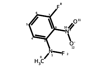 CN(F)c1cccc(F)c1[N+](=O)[O-]